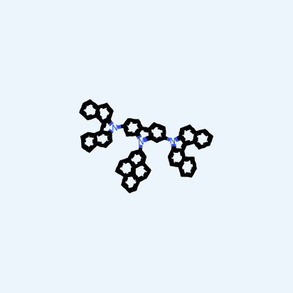 c1ccc2c(c1)ccc1c2c2c3ccccc3ccc2n1-c1ccc2c3ccc(-n4c5ccc6ccccc6c5c5c6ccccc6ccc54)cc3n(-c3cc4ccc5cccc6ccc(c3)c4c56)c2c1